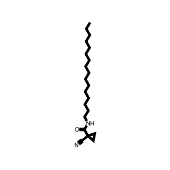 CCCCCCCCCCCCCCCCNC(=O)C1(C#N)CC1